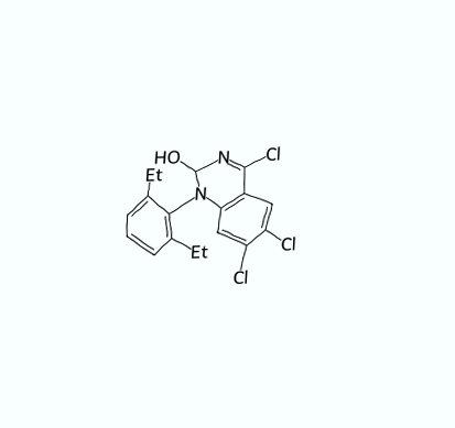 CCc1cccc(CC)c1N1c2cc(Cl)c(Cl)cc2C(Cl)=NC1O